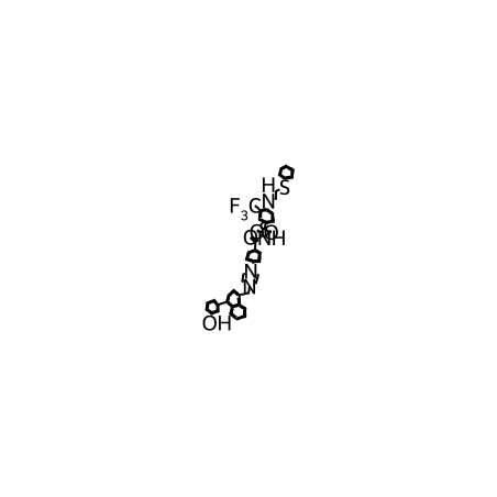 O=C(NS(=O)(=O)c1ccc(NCCSc2ccccc2)c(C(F)(F)F)c1)c1ccc(N2CCN(Cc3ccc(-c4cccc(O)c4)c4ccccc34)CC2)cc1